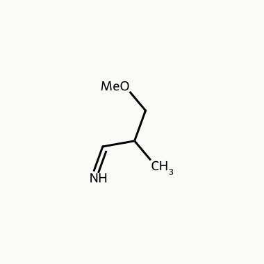 COCC(C)C=N